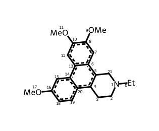 CCN1CCc2c(c3cc(OC)c(OC)cc3c3cc(OC)ccc23)C1